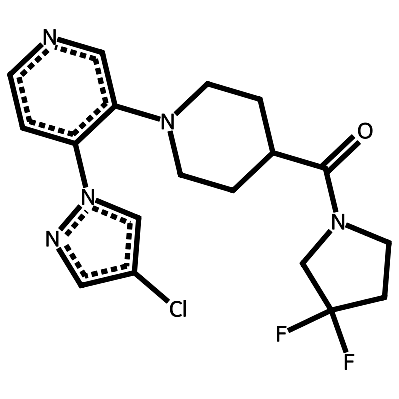 O=C(C1CCN(c2cnccc2-n2cc(Cl)cn2)CC1)N1CCC(F)(F)C1